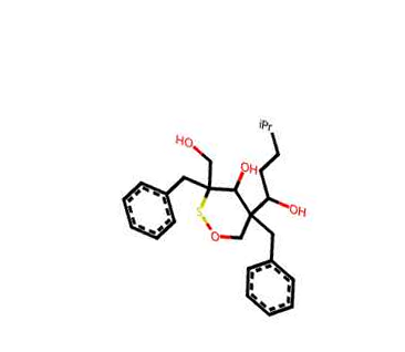 CC(C)CCC(O)C1(Cc2ccccc2)COSC(CO)(Cc2ccccc2)C1O